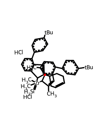 CC1=Cc2c(-c3ccc(C(C)(C)C)cc3)ccc(C)c2[CH]1[Zr]([CH3])([CH3])(=[SiH2])[CH]1C(C2CC=CCC2)=Cc2c(-c3ccc(C(C)(C)C)cc3)cccc21.Cl.Cl